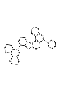 c1ccc(-c2nc3ccccc3c3c2ccc2oc4c(-c5cc6cccnc6c6ncccc56)cccc4c23)cc1